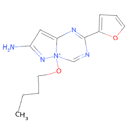 CCCCO[N+]12C=NC(c3ccco3)=NC1=CC(N)=N2